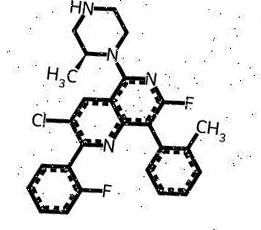 Cc1ccccc1-c1c(F)nc(N2CCNC[C@@H]2C)c2cc(Cl)c(-c3ccccc3F)nc12